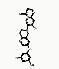 Cc1cc2nccc(=O)n2nc1N1CCc2ncc(Nc3cc(F)cc(C#N)c3)cc2C1